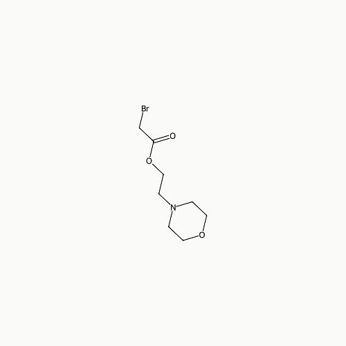 O=C(CBr)OCCN1CCOCC1